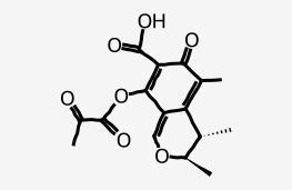 CC(=O)C(=O)OC1=C(C(=O)O)C(=O)C(C)=C2C1=CO[C@H](C)[C@H]2C